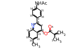 C=C(C)C(=O)Oc1cc(-c2ccc(NC(C)=O)cc2)nc2ccc(C)cc12